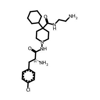 NCCNC(=O)C1(C2CCCCC2)CCN(NC(=O)[C@H](N)Cc2ccc(Cl)cc2)CC1